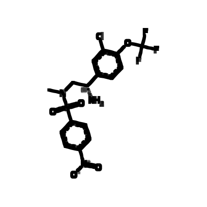 CN(C[C@@H](N)c1ccc(OC(F)(F)F)c(Cl)c1)S(=O)(=O)c1ccc([N+](=O)[O-])cc1